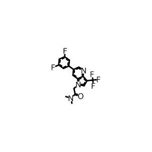 CN(C)C(=O)Cn1cc(C(F)(F)F)c2ncc(-c3cc(F)cc(F)c3)cc21